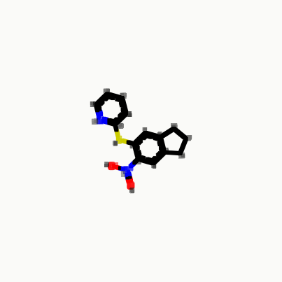 O=[N+]([O-])c1cc2c(cc1Sc1ccccn1)CCC2